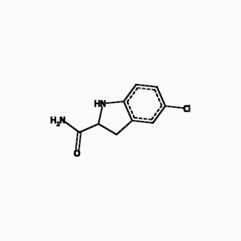 NC(=O)C1Cc2cc(Cl)ccc2N1